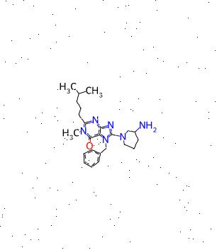 CC(C)CCCc1nc2nc(N3CCCC(N)C3)n(Cc3ccccc3)c2c(=O)n1C